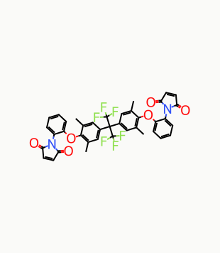 Cc1cc(C(c2cc(C)c(Oc3ccccc3N3C(=O)C=CC3=O)c(C)c2)(C(F)(F)F)C(F)(F)F)cc(C)c1Oc1ccccc1N1C(=O)C=CC1=O